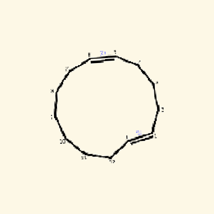 [C]1=C/CCC/C=C\CCCCCC/1